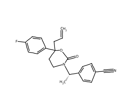 C=CCC1(c2ccc(F)cc2)CCN([C@@H](C)c2ccc(C#N)cc2)C(=O)O1